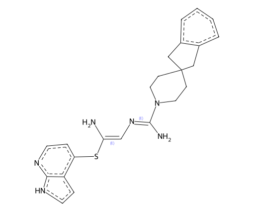 N/C(=C\N=C(/N)N1CCC2(CC1)Cc1ccccc1C2)Sc1ccnc2[nH]ccc12